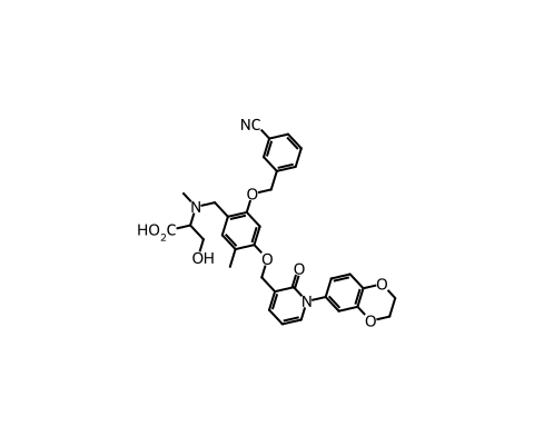 Cc1cc(CN(C)C(CO)C(=O)O)c(OCc2cccc(C#N)c2)cc1OCc1cccn(-c2ccc3c(c2)OCCO3)c1=O